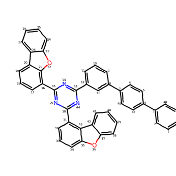 c1ccc(-c2ccc(-c3cccc(-c4nc(-c5cccc6c5oc5ccccc56)nc(-c5cccc6oc7ccccc7c56)n4)c3)cc2)cc1